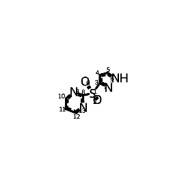 O=S(=O)(c1cc[nH]n1)c1ncccn1